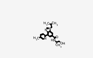 Cc1ccc(-c2cc(C(=O)N[C@@H](C)CO)cc3c2ncn3CC(C)C)nc1